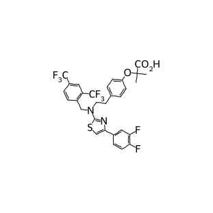 CC(C)(Oc1ccc(CCN(Cc2ccc(C(F)(F)F)cc2C(F)(F)F)c2nc(-c3ccc(F)c(F)c3)cs2)cc1)C(=O)O